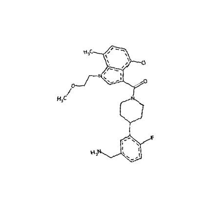 COCCn1cc(C(=O)N2CCC(c3cc(CN)ccc3F)CC2)c2c(Cl)ccc(C)c21